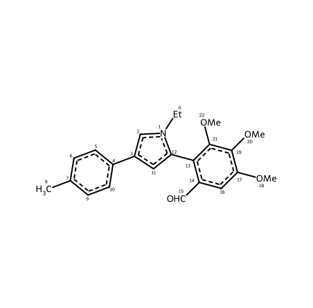 CCn1cc(-c2ccc(C)cc2)cc1-c1c(C=O)cc(OC)c(OC)c1OC